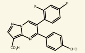 O=Cc1ccc(-c2nc3c(C(=O)O)cnn3cc2-c2ccc(F)cc2F)cc1